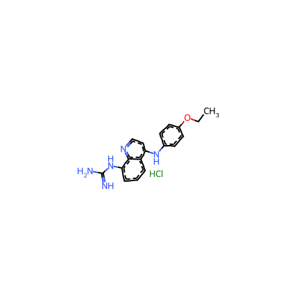 CCOc1ccc(Nc2ccnc3c(NC(=N)N)cccc23)cc1.Cl